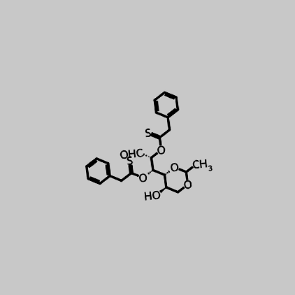 CC1OC[C@@H](O)[C@H]([C@H](OC(=S)Cc2ccccc2)[C@H](C=O)OC(=S)Cc2ccccc2)O1